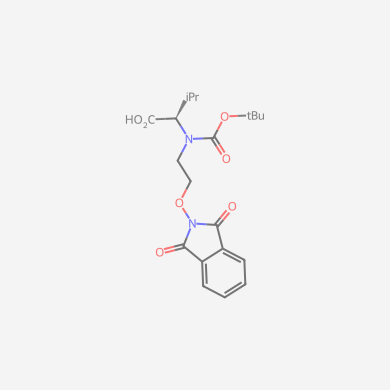 CC(C)[C@H](C(=O)O)N(CCON1C(=O)c2ccccc2C1=O)C(=O)OC(C)(C)C